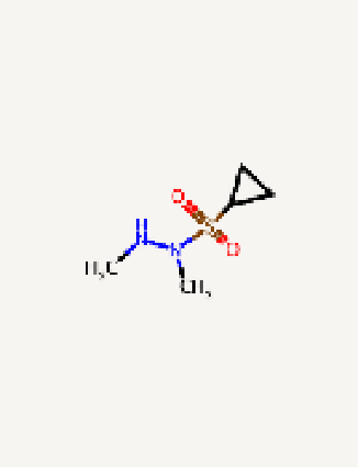 CNN(C)S(=O)(=O)C1CC1